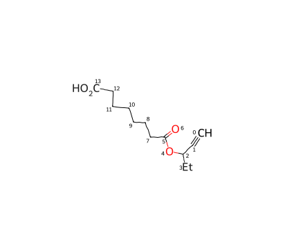 C#CC(CC)OC(=O)CCCCCCC(=O)O